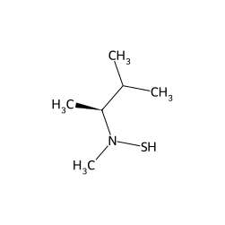 CC(C)[C@H](C)N(C)S